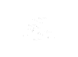 CCCCCCCCCCP(=O)([O-])CCCCCCCCCC.CCCCCCCCCCP(=O)([O-])CCCCCCCCCC.CCCCCCCCCCP(=O)([O-])CCCCCCCCCC.[Cr+3]